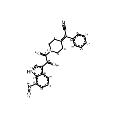 N#CC(=C1CCN(C(=O)C(=O)c2c[nH]c3c(N=O)cccc23)CC1)c1ccccc1